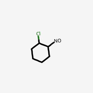 O=NC1CCCCC1Cl